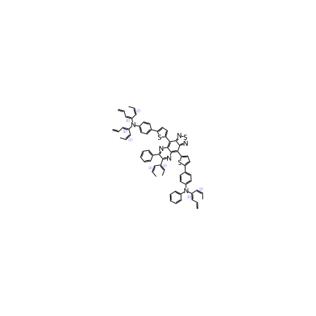 C=C/C=C(\C=C/C)N(C(/C=C\C)=C/C=C)c1ccc(-c2ccc(-c3c4nsnc4c(-c4ccc(-c5ccc(N(C(/C=C\C)=C/C=C)c6ccccc6)cc5)s4)c4nc(C(/C=C\C)=C/C)c(-c5ccccc5)nc34)s2)cc1